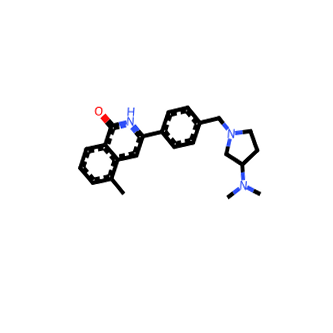 Cc1cccc2c(=O)[nH]c(-c3ccc(CN4CCC(N(C)C)C4)cc3)cc12